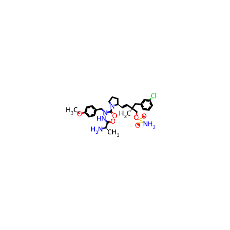 COc1ccc(CN(NC(=O)[C@H](C)N)C(=O)N2CCC[C@H]2/C=C/[C@](C)(COS(N)(=O)=O)Cc2cccc(Cl)c2)cc1